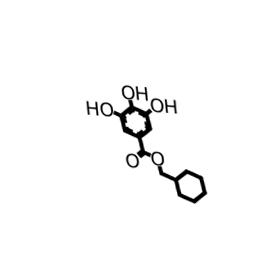 O=C(OCC1CCCCC1)c1cc(O)c(O)c(O)c1